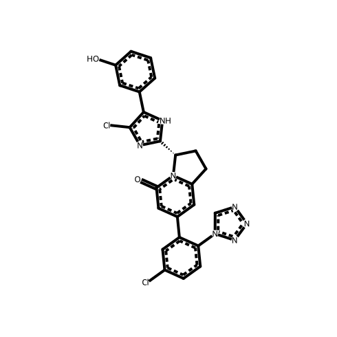 O=c1cc(-c2cc(Cl)ccc2-n2cnnn2)cc2n1[C@H](c1nc(Cl)c(-c3cccc(O)c3)[nH]1)CC2